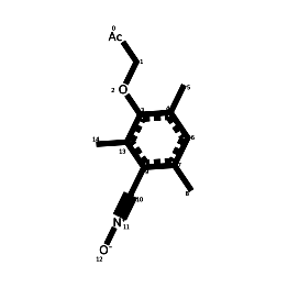 CC(=O)COc1c(C)cc(C)c(C#[N+][O-])c1C